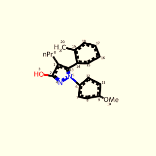 CCCc1c(O)nn(-c2ccc(OC)cc2)c1-c1ccccc1C